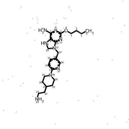 CCCCOc1nc(N)c2c(n1)N(Cc1ccc(N3CCC(CCN)CC3)nc1)CN2